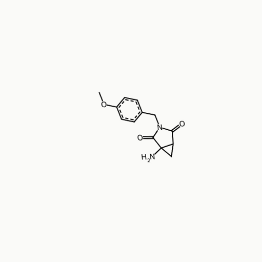 COc1ccc(CN2C(=O)C3CC3(N)C2=O)cc1